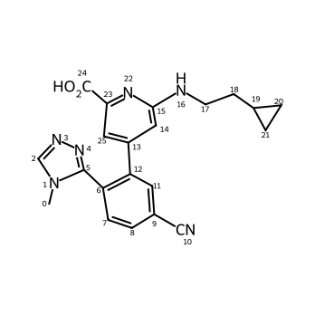 Cn1cnnc1-c1ccc(C#N)cc1-c1cc(NCCC2CC2)nc(C(=O)O)c1